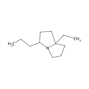 CCCC1CCC2(CC)CCCN12